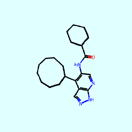 O=C(Nc1cnc2[nH]ncc2c1C1CCCCCCCC1)C1CCCCC1